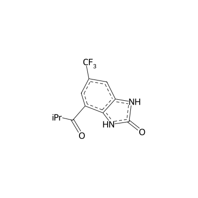 CC(C)C(=O)c1cc(C(F)(F)F)cc2[nH]c(=O)[nH]c12